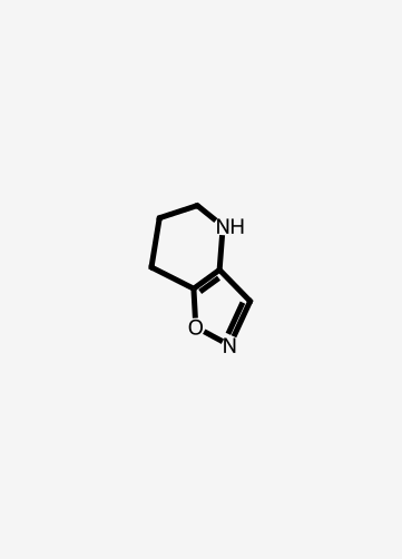 c1noc2c1NCCC2